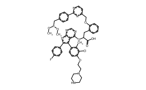 COP(Cc1ccc(-c2nccc(COc3ccccc3CC(Oc3ncnc4sc(-c5ccc(F)cc5)c(-c5ccc(OCCN6CCNCC6)c(Cl)c5C)c34)C(=O)O)n2)cc1)OC